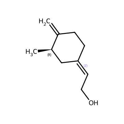 C=C1CC/C(=C/CO)C[C@H]1C